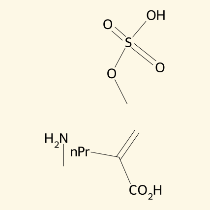 C=C(CCC)C(=O)O.CN.COS(=O)(=O)O